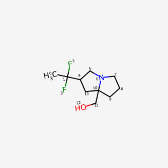 CC(F)(F)C1CN2CCCC2(CO)C1